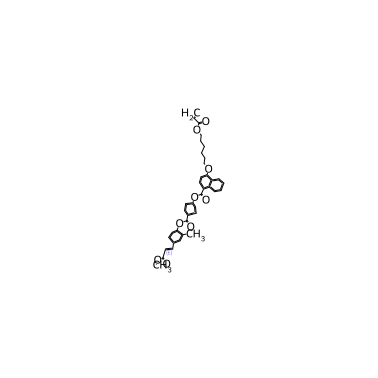 C=CC(=O)OCCCCCCOc1ccc(C(=O)Oc2ccc(C(=O)Oc3ccc(/C=C/C(=O)OC)cc3C)cc2)c2ccccc12